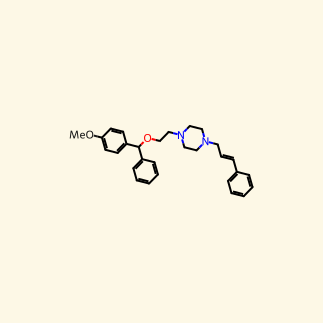 COc1ccc(C(OCCN2CCN(CC=Cc3ccccc3)CC2)c2ccccc2)cc1